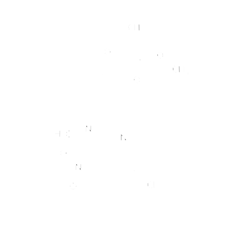 COC(=O)C(C)Oc1ccc(N(C)c2ncc(Cl)cc2[N+](=O)[O-])cc1